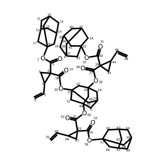 C=CC1CC1(C(=O)OC12CC3CC(CC(C3)C1)C2)C(=O)OC12CC3CC(OC(=O)C4(C(=O)OC56CC7CC(CC(C7)C5)C6)CC4C=C)(C1)CC(OC(=O)C1(C(=O)OC45CC6CC(CC(C6)C4)C5)CC1C=C)(C3)C2